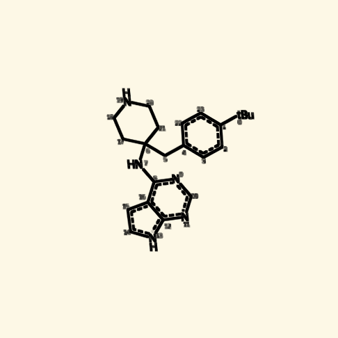 CC(C)(C)c1ccc(CC2(Nc3ncnc4[nH]ccc34)CCNCC2)cc1